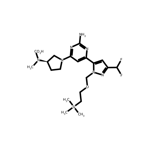 CN(C(=O)O)[C@@H]1CCN(c2cc(-c3cc(C(F)F)nn3COCC[Si](C)(C)C)nc(N)n2)C1